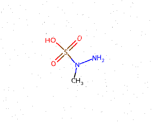 CN(N)S(=O)(=O)O